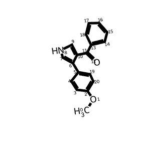 COc1ccc(-c2c[nH]cc2C(=O)c2ccccc2)cc1